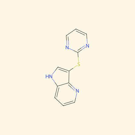 c1cnc(Sc2c[nH]c3cccnc23)nc1